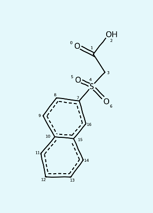 O=C(O)CS(=O)(=O)c1ccc2ccccc2c1